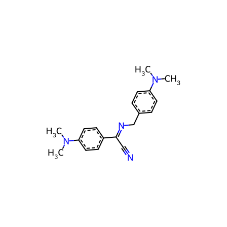 CN(C)c1ccc(C/N=C(\C#N)c2ccc(N(C)C)cc2)cc1